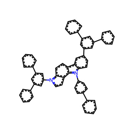 c1ccc(-c2ccc(-n3c4ccc(-c5cc(-c6ccccc6)cc(-c6ccccc6)c5)cc4c4ccc5c(ccn5-c5cc(-c6ccccc6)cc(-c6ccccc6)c5)c43)cc2)cc1